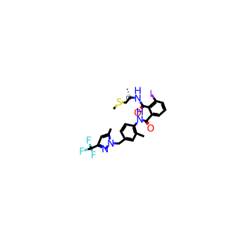 CSC[C@H](C)NC(=O)c1c(I)cccc1C(=O)Nc1ccc(Cn2nc(C(F)(F)F)cc2C)cc1C